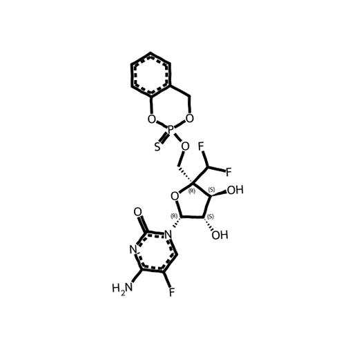 Nc1nc(=O)n([C@@H]2O[C@@](COP3(=S)OCc4ccccc4O3)(C(F)F)[C@@H](O)[C@@H]2O)cc1F